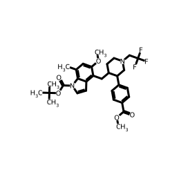 COC(=O)c1ccc(C2CN(CC(F)(F)F)CCC2Cc2c(OC)cc(C)c3c2ccn3C(=O)OC(C)(C)C)cc1